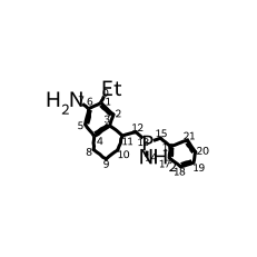 CCc1cc2c(cc1N)CCCC2CP(N)Cc1ccccc1